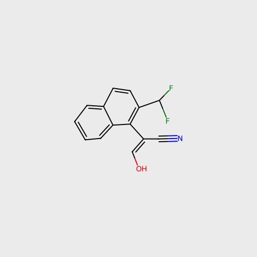 N#CC(=CO)c1c(C(F)F)ccc2ccccc12